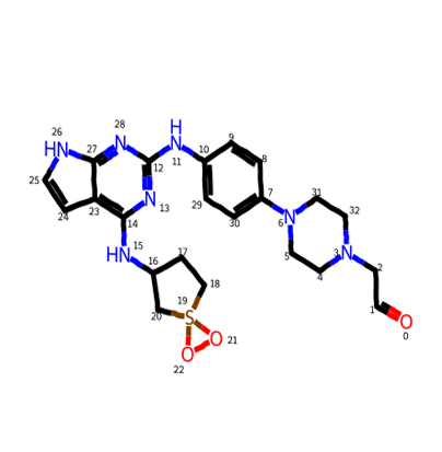 O=CCN1CCN(c2ccc(Nc3nc(NC4CCS5(C4)OO5)c4cc[nH]c4n3)cc2)CC1